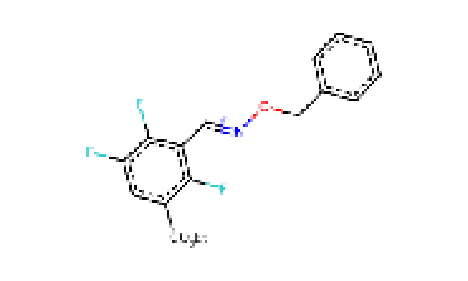 CCOC(=O)c1cc(F)c(F)c(/C=N/OCc2ccccc2)c1F